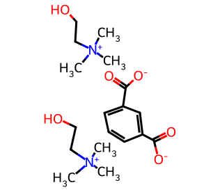 C[N+](C)(C)CCO.C[N+](C)(C)CCO.O=C([O-])c1cccc(C(=O)[O-])c1